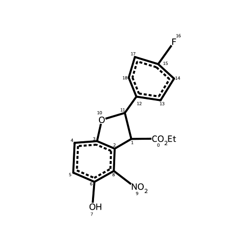 CCOC(=O)C1c2c(ccc(O)c2[N+](=O)[O-])OC1c1ccc(F)cc1